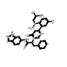 N/C(Cl)=C\N(N)c1ccc(Cl)cc1-c1cc(=O)n(C(Cc2ccccc2)C(=O)Nc2ccc3cn[nH]c3c2)cn1